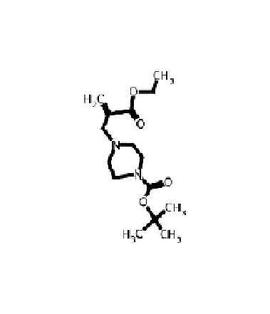 C=C(CN1CCN(C(=O)OC(C)(C)C)CC1)C(=O)OCC